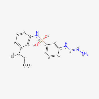 CCC(CC(=O)O)c1cccc(NS(=O)(=O)c2cccc(NC=NN)c2)c1